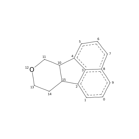 c1cc2c3c(cccc3c1)C1COCCC21